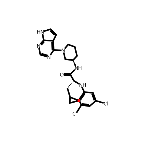 O=C(N[C@@H]1CCCN(c2ncnc3[nH]ccc23)C1)[C@@H](CC1CC1)Nc1cc(Cl)cc(Cl)c1